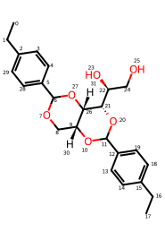 CCc1ccc(C2OC[C@H]3OC(c4ccc(CC)cc4)O[C@@H]([C@@H](O)CO)[C@H]3O2)cc1